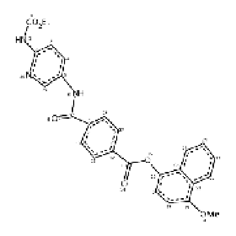 CCOC(=O)Nc1ccc(NC(=O)c2ccc(C(=O)Oc3ccc(OC)c4ccccc34)cc2)cn1